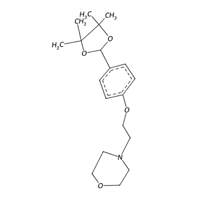 CC1(C)OC(c2ccc(OCCN3CCOCC3)cc2)OC1(C)C